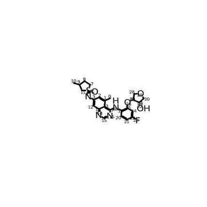 Cc1cc(N=S2(=O)CCC(C)C2)cc2ncnc(Nc3ccc(F)cc3O[C@H]3COC[C@@H]3O)c12